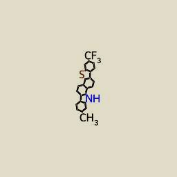 Cc1ccc2c(c1)[nH]c1c2ccc2c1ccc1c3ccc(C(F)(F)F)cc3sc12